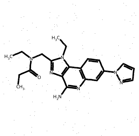 CCC(=O)N(CC)Cc1nc2c(N)nc3cc(-n4cccn4)ccc3c2n1CC